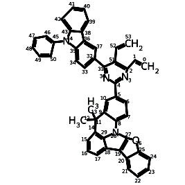 C=Cc1nc(-c2ccc3c(c2)C(C)(C)c2cccc4c5c6ccccc6oc5n-3c24)nc(-c2ccc3c(c2)c2ccccc2n3-c2ccccc2)c1C=C